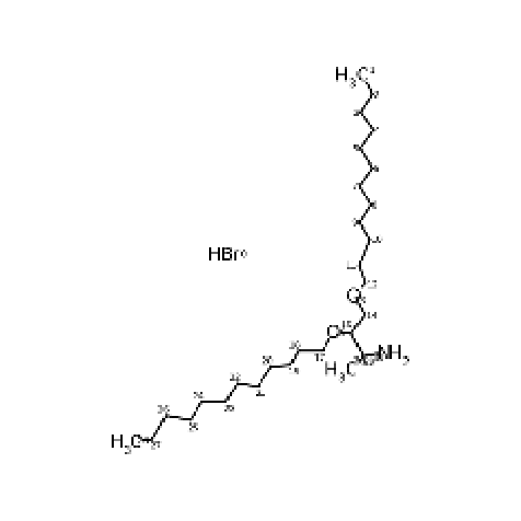 Br.CCCCCCCCCCCCOCC(OCCCCCCCCCCCC)C(C)N